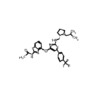 CC(=O)Nc1nc2c(Oc3cc(-c4ccc(C(F)(F)F)cc4)nc(NC[C@@H]4CCCN4CC(C)C)n3)cccc2s1